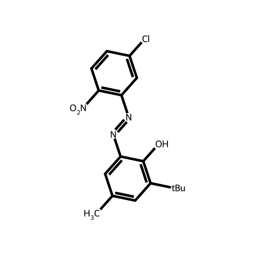 Cc1cc(N=Nc2cc(Cl)ccc2[N+](=O)[O-])c(O)c(C(C)(C)C)c1